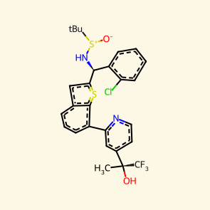 CC(C)(C)[S+]([O-])N[C@H](c1cc2cccc(-c3cc([C@@](C)(O)C(F)(F)F)ccn3)c2s1)c1ccccc1Cl